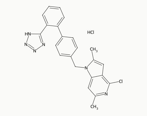 Cc1cc2c(cc(C)n2Cc2ccc(-c3ccccc3-c3nnn[nH]3)cc2)c(Cl)n1.Cl